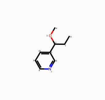 CCC(OC)c1[c]nccc1